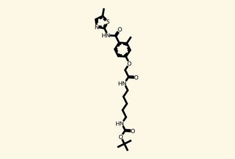 Cc1cnc(NC(=O)c2ccc(OCC(=O)NCCCCCNC(=O)OC(C)(C)C)cc2C)s1